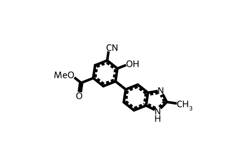 COC(=O)c1cc(C#N)c(O)c(-c2ccc3[nH]c(C)nc3c2)c1